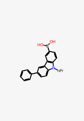 CCCn1c2ccc(B(O)O)cc2c2cc(-c3ccccc3)ccc21